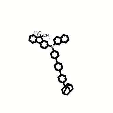 CC1(C)c2ccccc2-c2ccc(N(c3ccc(-c4ccc(-c5ccc(C67CC8CC(CC(C8)C6)C7)cc5)cc4)cc3)c3ccc4ccccc4c3)cc21